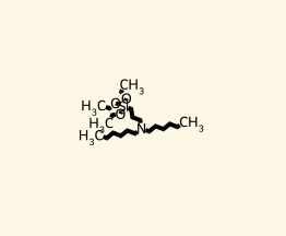 CCCCCCN(CCCCCC)CCC[Si](OCC)(OCC)OCC